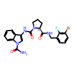 NC(=O)n1cc(NC(=O)N2CCC[C@H]2C(=O)NCc2cccc(Br)c2F)c2ccccc21